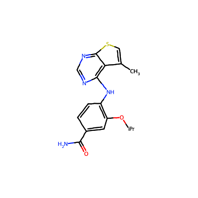 Cc1csc2ncnc(Nc3ccc(C(N)=O)cc3OC(C)C)c12